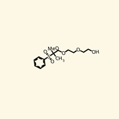 COC(C)(COCCOCCO)S(=O)(=O)c1ccccc1